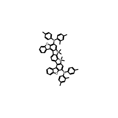 Cc1ccc(N(c2ccc(C)cc2C)c2cc3c(c4c2oc2ccccc24)-c2ccc4c(c2[Si]3(C)C)[Si](C)(C)c2cc(N(c3ccc(C)cc3)c3ccc(C)cc3C)c3oc5ccccc5c3c2-4)cc1